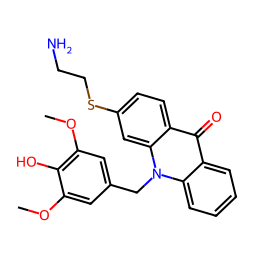 COc1cc(Cn2c3ccccc3c(=O)c3ccc(SCCN)cc32)cc(OC)c1O